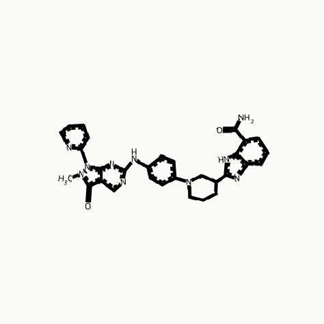 Cn1c(=O)c2cnc(Nc3ccc(N4CCCC(c5nc6cccc(C(N)=O)c6[nH]5)C4)cc3)nc2n1-c1ccccn1